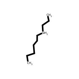 CCCCC[CH][SiH2]CCC